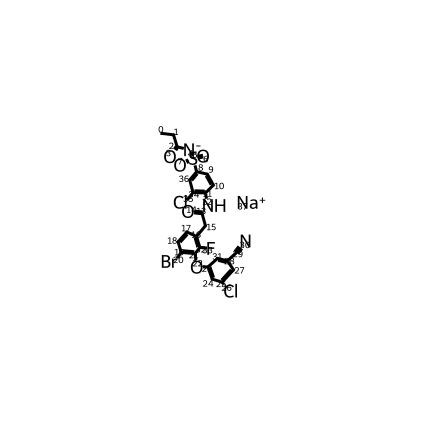 CCC(=O)[N-]S(=O)(=O)c1ccc(NC(=O)Cc2ccc(Br)c(Oc3cc(Cl)cc(C#N)c3)c2F)c(Cl)c1.[Na+]